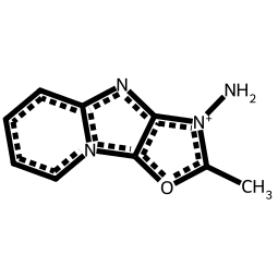 Cc1oc2c(nc3ccccn32)[n+]1N